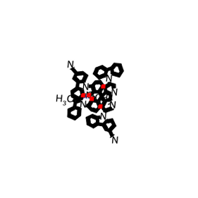 C=C/N=C\c1c(C)c2ccccc2n1-c1cccc2c1Oc1c(-n3c4ccccc4c4cc(C#N)ccc43)cccc1C21c2cc(-n3c4ccccc4c4ccccc43)cnc2-c2ncc(-n3c4ccccc4c4cc(C#N)ccc43)cc21